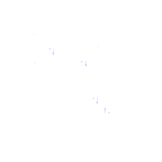 c1ccc(-c2nc(-c3ccc(-n4c5ccccc5c5cc6c(cc54)c4ccccc4n6-c4ccccc4)cc3)c3c(n2)sc2ccccc23)cc1